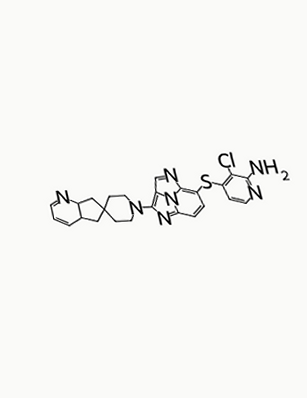 Nc1nccc(Sc2ccc3nc(N4CCC5(CC4)CC4C=CC=NC4C5)c4cnc2n34)c1Cl